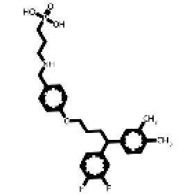 Cc1ccc(C(CCCOc2ccc(CNCCCP(=O)(O)O)cc2)c2ccc(F)c(F)c2)cc1C